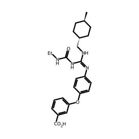 CCNC(=O)N/C(=N\c1ccc(Oc2cccc(C(=O)O)c2)cc1)NC[C@H]1CC[C@H](C)CC1